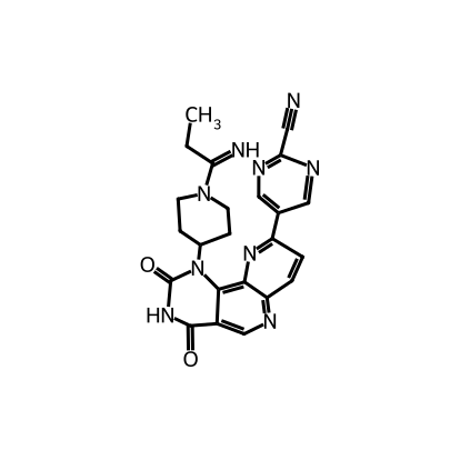 CCC(=N)N1CCC(n2c(=O)[nH]c(=O)c3cnc4ccc(-c5cnc(C#N)nc5)nc4c32)CC1